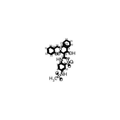 CS(=O)(=O)Nc1ccc2c(c1)S(=O)(=O)N=C(C1=C(O)C3C4CCC(CC4)C3N(Cc3ccccc3Br)C1=O)N2